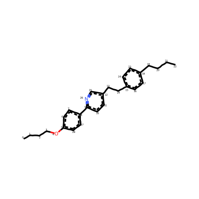 CCCCOc1ccc(-c2ccc(CCc3ccc(CCCC)cc3)cn2)cc1